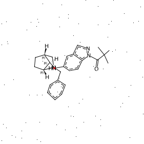 CC(C)(C)C(=O)n1ncc2cc(N[C@@H]3[C@@H]4CC[C@H]3N(Cc3ccccc3)C4)ccc21